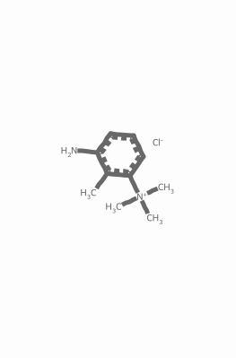 Cc1c(N)cccc1[N+](C)(C)C.[Cl-]